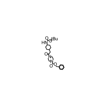 CC(C)(C)OC(=O)NC1CCC(CC(=O)N2CCN(C(=O)OCc3ccccc3)CC2)CC1